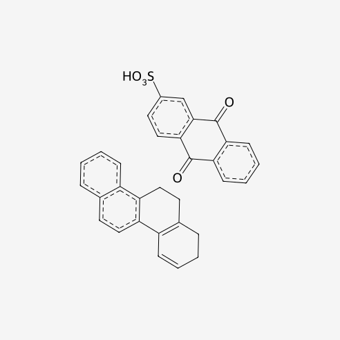 C1=CC2=C(CC1)CCc1c2ccc2ccccc12.O=C1c2ccccc2C(=O)c2cc(S(=O)(=O)O)ccc21